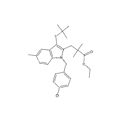 CCOC(=O)C(C)(C)Cc1c(SC(C)(C)C)c2cc(C)ccc2n1Cc1ccc(Cl)cc1